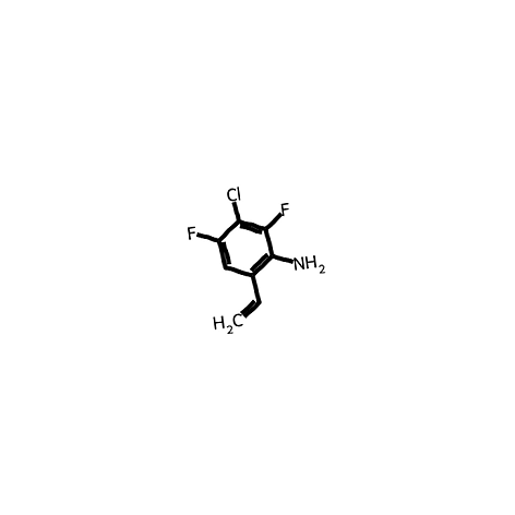 C=Cc1cc(F)c(Cl)c(F)c1N